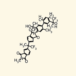 Cc1cc(C)c(C(C)(O)C(F)(F)F)cc1-c1cc(C(C)(O)C(F)(F)F)c(N2C(=O)c3ccc(C(C)(c4ccc5c(c4)C(=O)N(C)C5=O)C(F)(F)F)cc3C2=O)cc1C